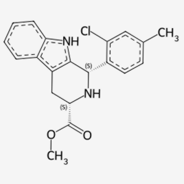 COC(=O)[C@@H]1Cc2c([nH]c3ccccc23)[C@H](c2ccc(C)cc2Cl)N1